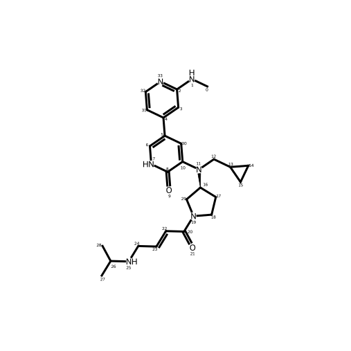 CNc1cc(-c2c[nH]c(=O)c(N(CC3CC3)[C@H]3CCN(C(=O)C=CCNC(C)C)C3)c2)ccn1